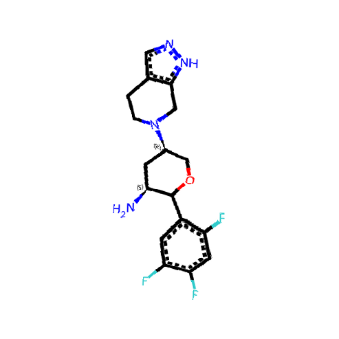 N[C@H]1C[C@@H](N2CCc3cn[nH]c3C2)COC1c1cc(F)c(F)cc1F